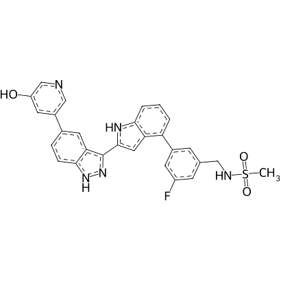 CS(=O)(=O)NCc1cc(F)cc(-c2cccc3[nH]c(-c4n[nH]c5ccc(-c6cncc(O)c6)cc45)cc23)c1